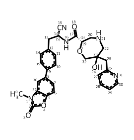 Cn1c(=O)oc2ccc(-c3ccc(C[C@@H](C#N)NC(=O)[C@@H]4CNCC(O)(Cc5ccccn5)CO4)cc3)cc21